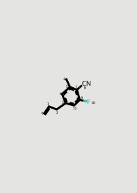 C=CCc1cc(C)c(C#N)c(F)c1